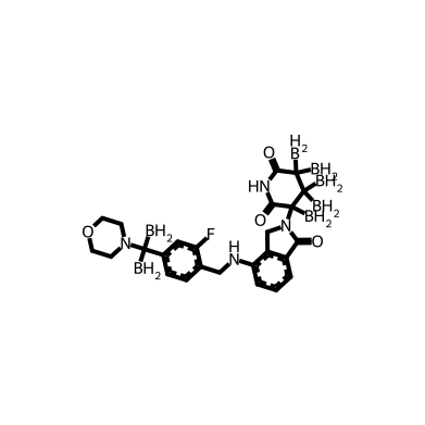 BC(B)(c1ccc(CNc2cccc3c2CN(C2(B)C(=O)NC(=O)C(B)(B)C2(B)B)C3=O)c(F)c1)N1CCOCC1